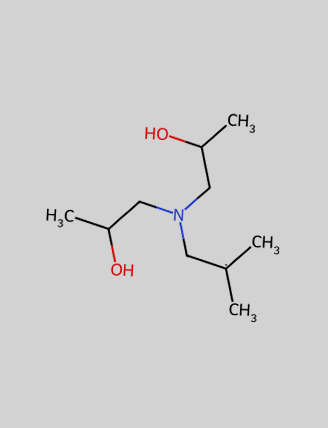 C[C](C)CN(CC(C)O)CC(C)O